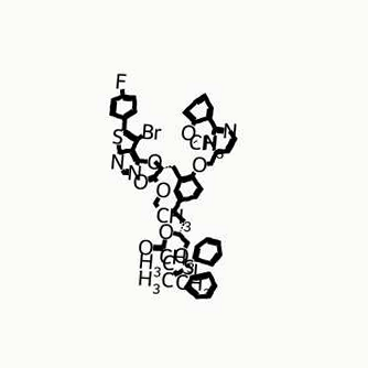 CCOC(=O)[C@@H](Cc1cc(CC[C@H](CO[Si](c2ccccc2)(c2ccccc2)C(C)(C)C)OC(C)=O)ccc1OCc1ccnc(-c2ccccc2OC)n1)Oc1ncnc2sc(-c3ccc(F)cc3)c(Br)c12